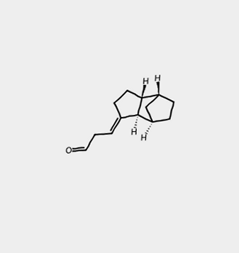 O=CC/C=C1\CC[C@@H]2[C@@H]3CC[C@H](C3)[C@@H]12